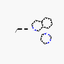 C=C=CC.c1ccc2cnccc2c1.c1cncnc1